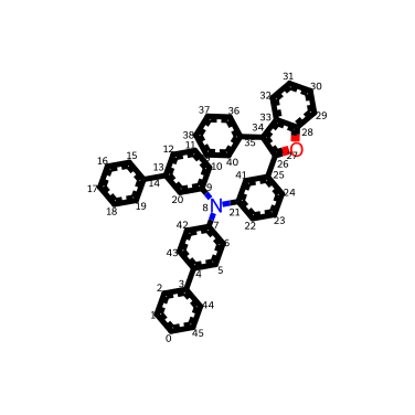 c1ccc(-c2ccc(N(c3cccc(-c4ccccc4)c3)c3cccc(-c4oc5ccccc5c4-c4ccccc4)c3)cc2)cc1